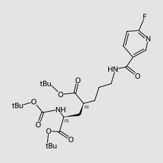 CC(C)(C)OC(=O)N[C@@H](C[C@H](CCCNC(=O)c1ccc(F)nc1)C(=O)OC(C)(C)C)C(=O)OC(C)(C)C